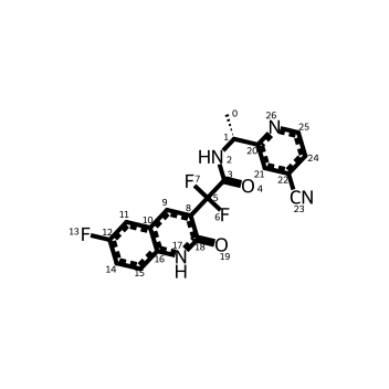 C[C@@H](NC(=O)C(F)(F)c1cc2cc(F)ccc2[nH]c1=O)c1cc(C#N)ccn1